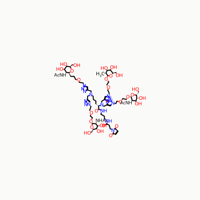 CC(=O)N[C@@H]1[C@@H](O)[C@@H](O)[C@@H](CO)O[C@H]1CCCOCCn1cc(CN(CCCC[C@@H](C(=O)NCCCNC(=O)CCN2C(=O)C=CC2=O)N(Cc2cn(CCOCCO[C@@H]3O[C@H](CO)[C@H](O)[C@H](O)[C@H]3C)nn2)Cc2cn(CCOCCO[C@@H]3O[C@H](CO)[C@H](O)[C@H](O)[C@H]3NC(C)=O)nn2)Cc2cn(CCOCCO[C@@H]3O[C@H](CO)[C@H](O)[C@H](O)[C@H]3NC(C)=O)nn2)nn1